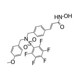 COc1ccc(CN(Cc2ccc(/C=C/C(=O)NO)cc2)S(=O)(=O)c2c(F)c(F)c(F)c(F)c2F)cc1